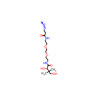 CC(C)(CO)[C@@H](O)C(=O)NCCOCCOCCNC(=O)CCN=[N+]=[N-]